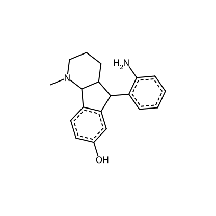 CN1CCCC2C(c3ccccc3N)c3cc(O)ccc3C21